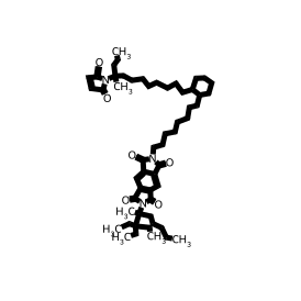 CCCCCC(C)(n1c(=O)c2cc3c(=O)n(CCCCCCCCC4CCCCC4CCCCCCCCC(C)(CCC)N4C(=O)C=CC4=O)c(=O)c3cc2c1=O)C(CC)(CC)CC